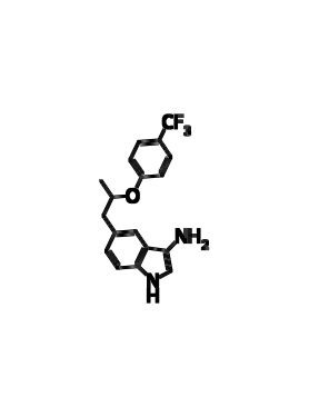 CC(Cc1ccc2[nH]cc(N)c2c1)Oc1ccc(C(F)(F)F)cc1